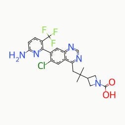 CC(C)(Cc1ncnc2cc(-c3nc(N)ccc3C(F)(F)F)c(Cl)cc12)C1CN(C(=O)O)C1